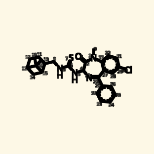 CN1C(=O)C(NC(=S)NCC2CCC3CC2C3(C)C)N=C(c2ccccc2)c2cc(Cl)ccc21